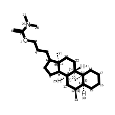 C=C(OCCCC1CCC2[C@@H]3C[C@H](C)[C@@H]4CCCC[C@]4(C)[C@H]3CC[C@]12C)N(C)C